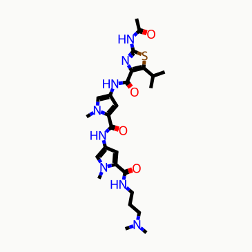 CC(=O)Nc1nc(C(=O)Nc2cc(C(=O)Nc3cc(C(=O)NCCCN(C)C)n(C)c3)n(C)c2)c(C(C)C)s1